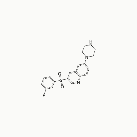 O=S(=O)(c1cccc(F)c1)c1cnc2ccc(N3CCNCC3)cc2c1